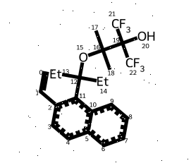 C=Cc1ccc2ccccc2c1C(CC)(CC)OC(C)(C)C(O)(C(F)(F)F)C(F)(F)F